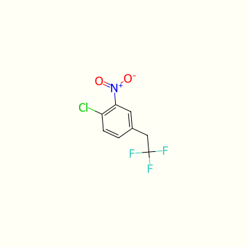 O=[N+]([O-])c1cc(CC(F)(F)F)ccc1Cl